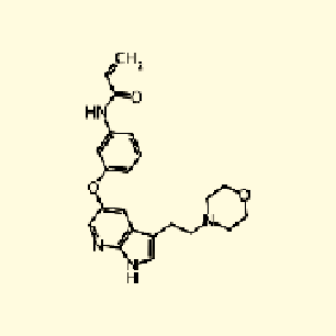 C=CC(=O)Nc1cccc(Oc2cnc3[nH]cc(CCN4CCOCC4)c3c2)c1